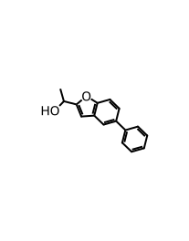 CC(O)c1cc2cc(-c3ccccc3)ccc2o1